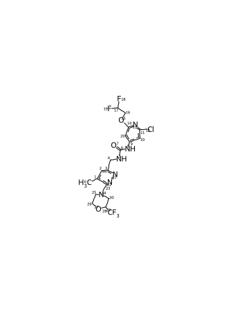 Cc1cc(CNC(=O)Nc2cc(Cl)nc(OCC(F)F)c2)nnc1N1CCOC(C(F)(F)F)C1